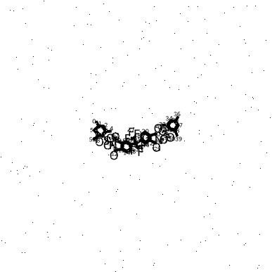 Cc1cc(C)c(S(=O)(=O)ON2C(=O)c3ccc(C(c4ccc5c(c4)C(=O)N(OS(=O)(=O)c4c(C)cc(C)cc4C)C5=O)(C(F)(F)F)C(F)(F)F)cc3C2=O)c(C)c1